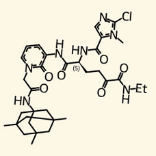 CCNC(=O)C(=O)CC[C@H](NC(=O)c1cnc(Cl)n1C)C(=O)Nc1cccn(CC(=O)NC23CC4(C)CC(C)(CC(C)(C4)C2)C3)c1=O